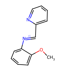 COc1ccccc1/N=C/c1ccccn1